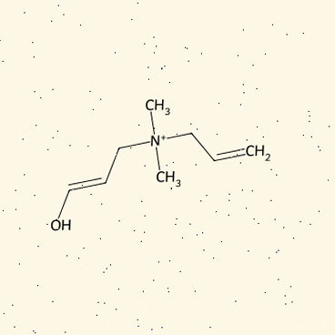 C=CC[N+](C)(C)CC=CO